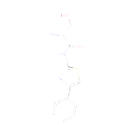 NC(CO)C(=O)Nc1nc(-c2ccccc2)cs1